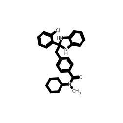 CN(C(=O)c1ccc(CC2(c3ccccc3Cl)Nc3ccccc3N2)cc1)C1CCCCC1